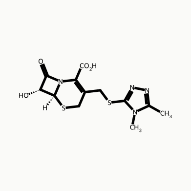 Cc1nnc(SCC2=C(C(=O)O)N3C(=O)[C@@H](O)[C@@H]3SC2)n1C